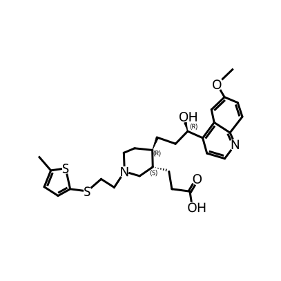 COc1ccc2nccc([C@H](O)CC[C@@H]3CCN(CCSc4ccc(C)s4)C[C@H]3CCC(=O)O)c2c1